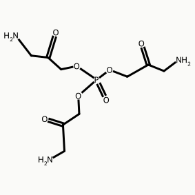 NCC(=O)COP(=O)(OCC(=O)CN)OCC(=O)CN